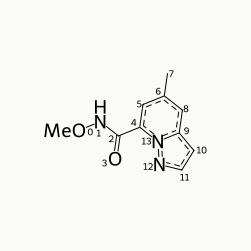 CONC(=O)c1cc(C)cc2ccnn12